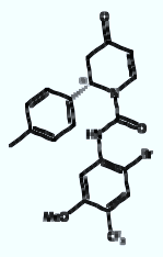 COc1cc(NC(=O)N2C=CC(=O)C[C@H]2c2ccc(C)cc2)c(Br)cc1C(F)(F)F